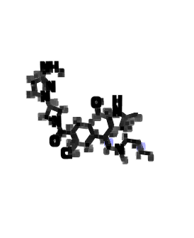 C/C=C/CN(C)/C=C(/c1ccc(C(=O)N2CC(n3ccc(N)n3)C2)c(Cl)c1)c1cc(C)[nH]c1C=O